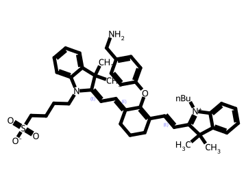 CCCC[N+]1=C(/C=C/C2=C(Oc3ccc(CN)cc3)C(=C/C=C3/N(CCCCS(=O)(=O)[O-])c4ccccc4C3(C)C)/CCC2)C(C)(C)c2ccccc21